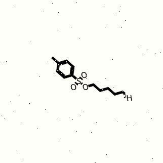 [2H]CCCCCOS(=O)(=O)c1ccc(C)cc1